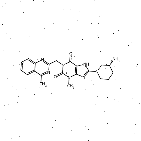 Cc1nc(Cn2c(=O)c3[nH]c(N4CCC[C@H](N)C4)nc3n(C)c2=O)nc2ccccc12